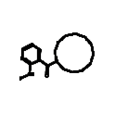 O=C(c1cccnc1NI)N1CCCCCCCCCCC1